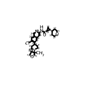 C[C@@]1(N2CCC(c3cc4cc(NC(=O)[C@@H]5C[C@@H]5C5CCOCC5)ncc4cc3Cl)CC2)COC[C@@H]1F